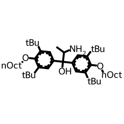 CCCCCCCCOc1c(C(C)(C)C)cc(C(O)(c2cc(C(C)(C)C)c(OCCCCCCCC)c(C(C)(C)C)c2)C(C)N)cc1C(C)(C)C